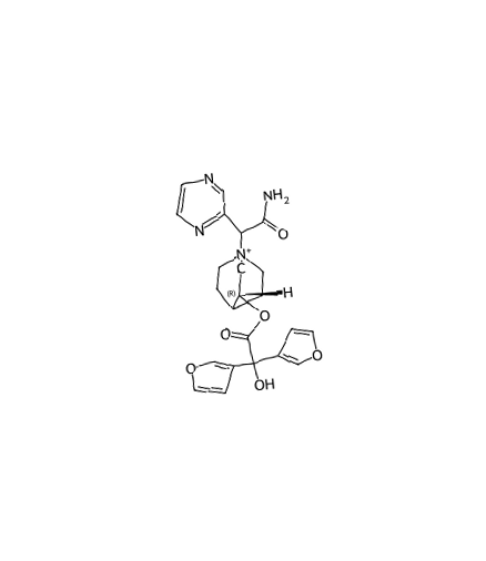 NC(=O)C(c1cnccn1)[N+]12CCC(CC1)[C@@H](OC(=O)C(O)(c1ccoc1)c1ccoc1)C2